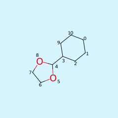 C1CCC(C2OCCO2)CC1